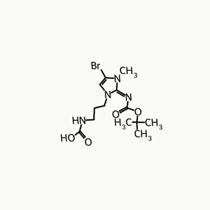 Cn1c(Br)cn(CCCNC(=O)O)c1=NC(=O)OC(C)(C)C